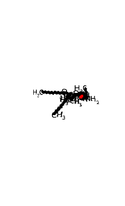 CCCCCCCCCCCCCCCC(=O)OCC(CSC[C@H](NC(=O)OC(C)(C)C)C(=O)Nc1ccc(Cn2c(CCCC)nc3c(N)nc4ccccc4c32)cc1)OC(=O)CCCCCCCCCCCCCCC